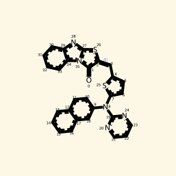 O=c1/c(=C\c2ccc(N(c3ccc4ccccc4c3)c3ncccn3)s2)sc2nc3ccccc3n12